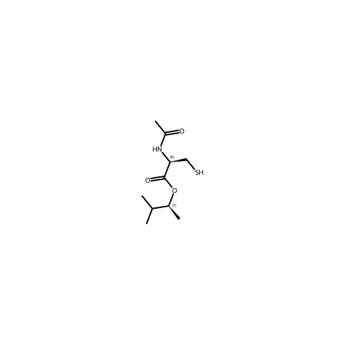 CC(=O)N[C@@H](CS)C(=O)O[C@@H](C)C(C)C